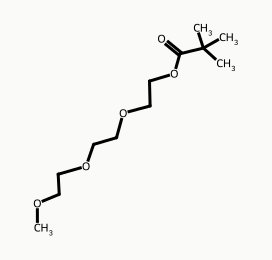 COCCOCCOCCOC(=O)C(C)(C)C